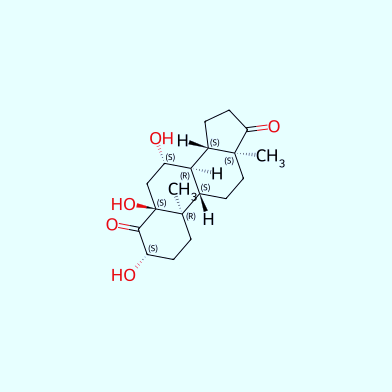 C[C@]12CC[C@H]3[C@@H]([C@@H](O)C[C@@]4(O)C(=O)[C@@H](O)CC[C@]34C)[C@@H]1CCC2=O